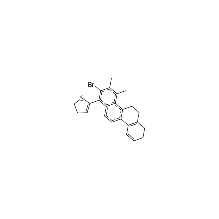 Cc1c(Br)c(C2=CCCS2)c2ccc3c(c2c1C)CCC1=C3C=CCC1